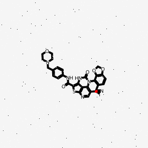 N#Cc1cnc2sc(C(=O)Nc3ccc(CN4CCOCC4)cc3)c3c2c1N(c1c(CI)ccc2c1OCO2)C(=O)N3